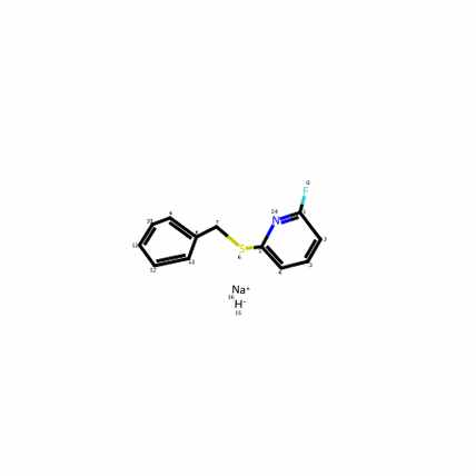 Fc1cccc(SCc2ccccc2)n1.[H-].[Na+]